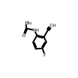 C#Cc1cc(F)ccc1NC(=O)C(C)(C)C